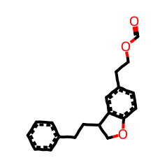 O=COCCc1ccc2c(c1)C(CCc1ccccc1)CO2